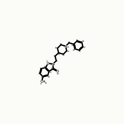 Cc1ccc2on(CCC3CCN(Cc4ccccc4)CC3)c(=O)c2c1